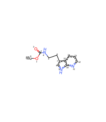 CC(C)(C)OC(=O)NCCc1c[nH]c2ncccc12